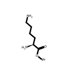 CC(C)OC(=O)[C@@H](N)CCCCN